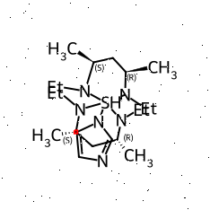 CCN1[C@H](C)C[C@H](C)N(CC)[SH]12(n1ccnc1)N(CC)[C@H](C)C[C@H](C)N2CC